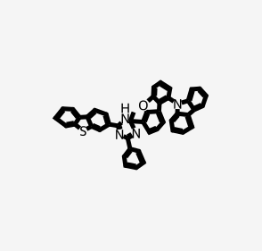 CC1(c2cccc3c2oc2cccc(-n4c5ccccc5c5ccccc54)c23)N=C(c2ccccc2)N=C(c2ccc3c(c2)sc2ccccc23)N1